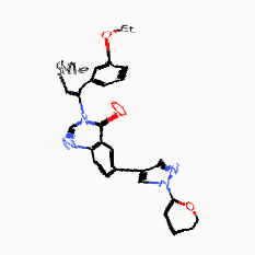 CCOc1cccc(C(CSC)n2cnc3ccc(-c4cnn(C5CCCCO5)c4)cc3c2=O)c1